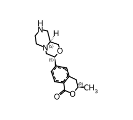 C[C@@H]1Cc2cc([C@H]3CN4CCNC[C@H]4CO3)ccc2C(=O)O1